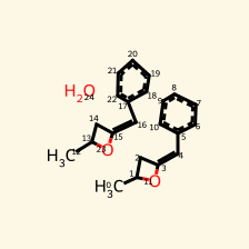 CC1CC(=Cc2ccccc2)O1.CC1CC(=Cc2ccccc2)O1.O